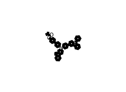 C=C(C)C(=O)Oc1ccc(-c2ccc(N(c3ccc(-c4ccc5c(c4)c4ccccc4n5-c4ccccc4)cc3)c3ccc4c(c3)C(C)(C)c3ccccc3-4)cc2)cc1